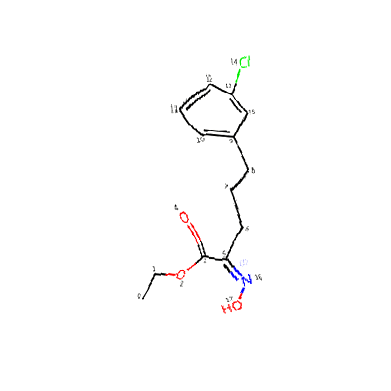 CCOC(=O)/C(CCCc1cccc(Cl)c1)=N\O